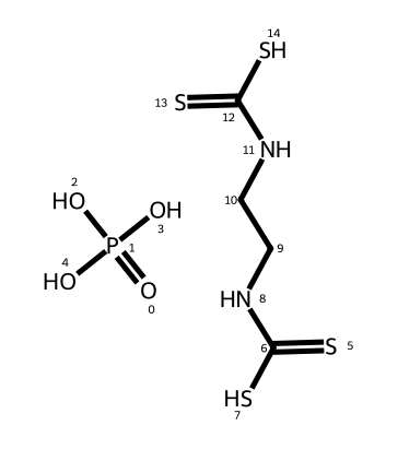 O=P(O)(O)O.S=C(S)NCCNC(=S)S